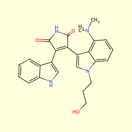 CN(C)c1cccc2c1c(C1=C(c3c[nH]c4ccccc34)C(=O)NC1=O)cn2CCCO